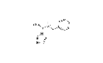 CCCCC([SiH2]Cc1ccccc1)n1ccnc1